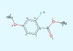 CCCCOC(=O)c1ccc(OCCCC)cc1F